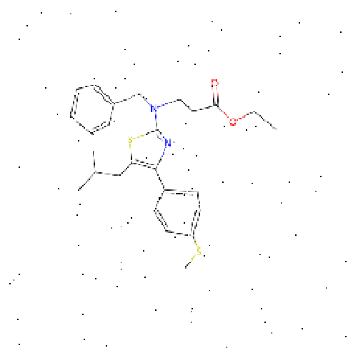 CCOC(=O)CCN(Cc1ccccc1)c1nc(-c2ccc(SC)cc2)c(CC(C)C)s1